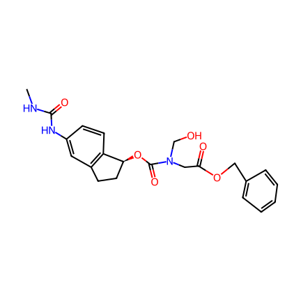 CNC(=O)Nc1ccc2c(c1)CC[C@@H]2OC(=O)N(CO)CC(=O)OCc1ccccc1